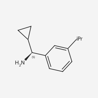 CC(C)c1cccc([C@@H](N)C2CC2)c1